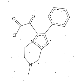 CN1CCn2c(cc(-c3ccccc3)c2C(=O)C(=O)Cl)C1